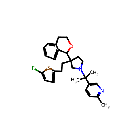 Cc1ccc(C(C)(C)N2CCC(CCc3ccc(F)s3)(C3OCCc4ccccc43)C2)cn1